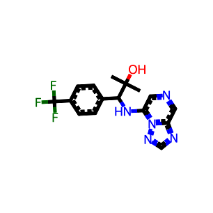 CC(C)(O)C(Nc1cncc2ncnn12)c1ccc(C(F)(F)F)cc1